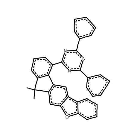 CC1(C)c2cc3oc4ccccc4c3cc2-c2c(-c3nc(-c4ccccc4)nc(-c4ccccc4)n3)cccc21